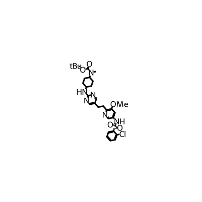 COc1cc(NS(=O)(=O)c2ccccc2Cl)cnc1CCc1cnc(NC2CCC(N(C)C(=O)OC(C)(C)C)CC2)nc1